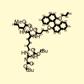 C=C/C=C(/NC(=O)/C(=C/CCCN/C(=N/C(=O)OC(C)(C)C)NC(=O)OC(C)(C)C)NC(=O)CCCOc1ccc2ccccc2c1-c1c(OCC=C)ccc2ccccc12)C(=O)OC